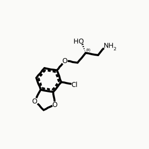 NC[C@@H](O)COc1ccc2c(c1Cl)OCO2